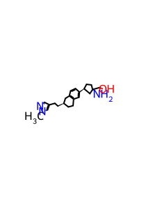 Cn1cc(CC[C@@H]2CCc3cc([C@H]4CC[C@](N)(CO)C4)ccc3C2)cn1